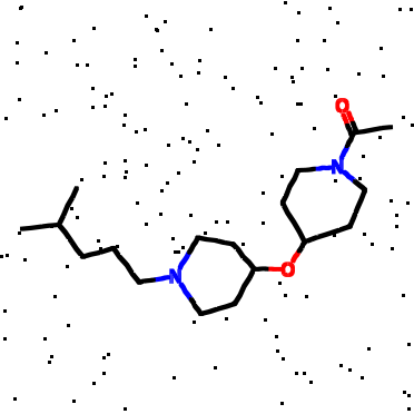 CC(=O)N1CCC(OC2CCN(CCCC(C)C)CC2)CC1